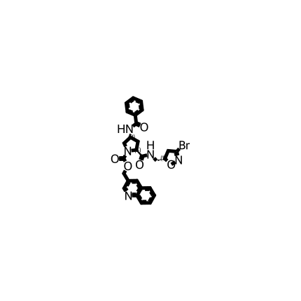 O=C(N[C@@H]1C[C@@H](C(=O)NC[C@@H]2CC(Br)=NO2)N(C(=O)OCc2cnc3ccccc3c2)C1)c1ccccc1